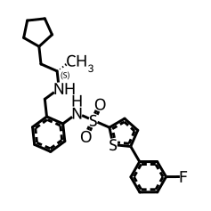 C[C@@H](CC1CCCC1)NCc1ccccc1NS(=O)(=O)c1ccc(-c2cccc(F)c2)s1